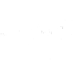 COCc1ccc2c(-c3ccccc3C(N)Cc3ccccn3)noc2c1